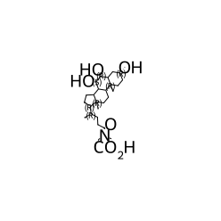 C[C@H](CCC(=O)N(C)CC(=O)O)[C@H]1CCC2C3C(CC[C@@]21C)[C@@]1(C)CC[C@@H](O)CC1[C@@H](O)[C@H]3O